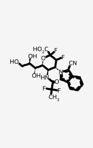 CC(F)(F)C(=O)N[C@H]1[C@H]([C@H](O)[C@H](O)CO)OC(F)(C(=O)O)C(F)[C@@H]1n1cc2ccccc2c1C#N